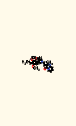 CCCc1c(OC)cc2c(c1OC)OC[C@@H]1CN(CCc3c(C)nc4ccccn4c3=O)C[C@H]21